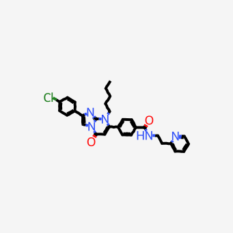 CCCCCn1c(-c2ccc(C(=O)NCCc3ccccn3)cc2)cc(=O)n2cc(-c3ccc(Cl)cc3)nc12